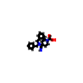 N#CC1(N(Cc2ccccc2)Cc2ccccc2)CCN(C(=O)O)CC1